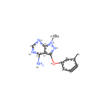 Cc1c#ccc(Oc2nn(C(C)(C)C)c3ncnc(N)c23)c1